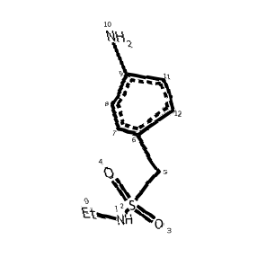 CCNS(=O)(=O)Cc1ccc(N)cc1